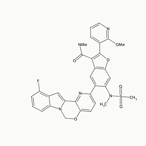 CNC(=O)c1c(-c2cccnc2OC)oc2cc(N(C)S(C)(=O)=O)c(-c3ccc4c(n3)-c3cc5c(F)cccc5n3CO4)cc12